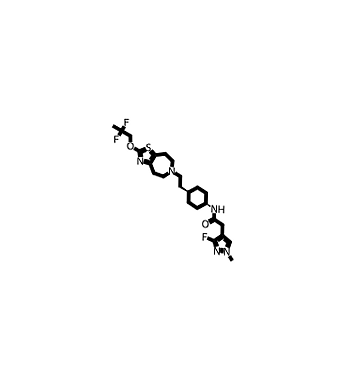 Cn1cc(CC(=O)N[C@H]2CC[C@H](CCN3CCc4nc(OCC(C)(F)F)sc4CC3)CC2)c(F)n1